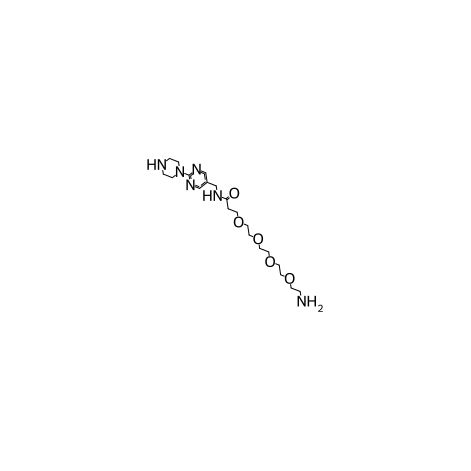 NCCOCCOCCOCCOCCC(=O)NCc1cnc(N2CCNCC2)nc1